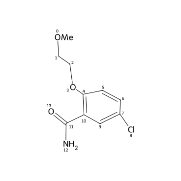 COCCOc1ccc(Cl)cc1C(N)=O